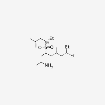 C=C(C)C[C@H](CC)S(=O)(=O)C(CC(C)N)CC(C)CC(CC)CC